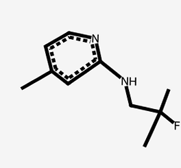 Cc1ccnc(NCC(C)(C)F)c1